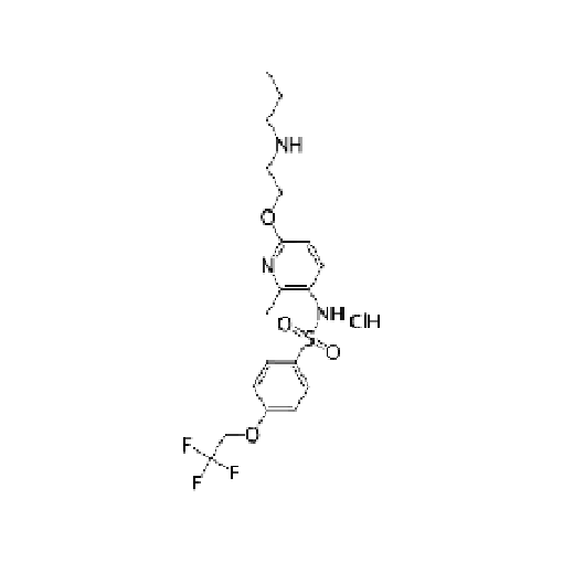 CCCNCCOc1ccc(NS(=O)(=O)c2ccc(OCC(F)(F)F)cc2)c(C)n1.Cl